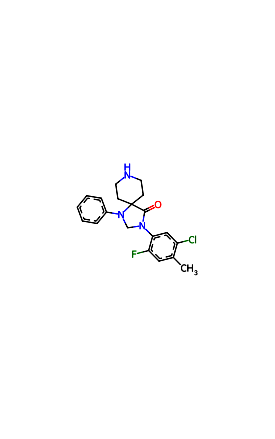 Cc1cc(F)c(N2CN(c3ccccc3)C3(CCNCC3)C2=O)cc1Cl